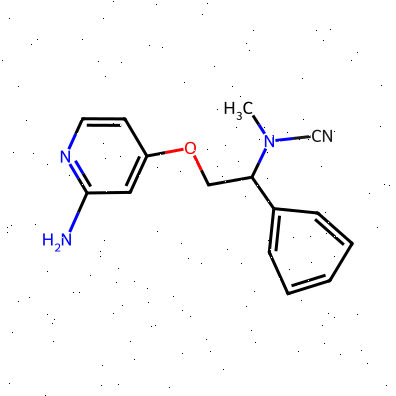 CN(C#N)C(COc1ccnc(N)c1)c1ccccc1